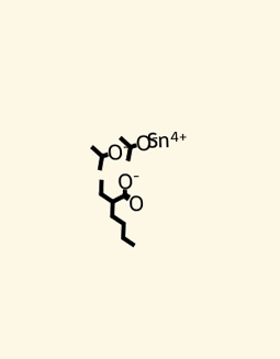 CC(C)[O-].CC(C)[O-].CCCCC(CC)C(=O)[O-].[Sn+4]